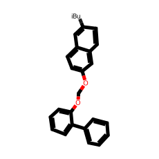 CCC(C)c1ccc2cc(OCOc3ccccc3-c3ccccc3)ccc2c1